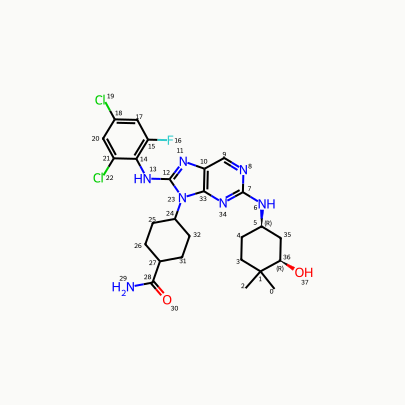 CC1(C)CC[C@@H](Nc2ncc3nc(Nc4c(F)cc(Cl)cc4Cl)n(C4CCC(C(N)=O)CC4)c3n2)C[C@H]1O